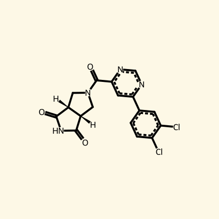 O=C1NC(=O)[C@@H]2CN(C(=O)c3cc(-c4ccc(Cl)c(Cl)c4)ncn3)C[C@H]12